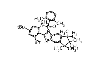 Cc1cccc(C)c1P1(=O)N(C)c2cc(C(C)(C)C)cc(C(C)C)c2-c2nc3cc4c(cc3n21)C(C)(C)C(C)(C)C4(C)C